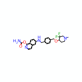 CN1CCC(OCc2ccc(CNc3ccc4c(OC(N)=O)nccc4c3)cc2)C(F)(F)C1